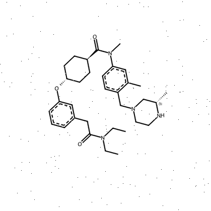 CCN(CC)C(=O)Cc1cccc(O[C@H]2CC[C@H](C(=O)N(C)c3ccc(CN4CCN[C@@H](C)C4)c(C)c3)CC2)c1